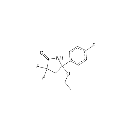 CCOC1(c2ccc(F)cc2)CC(F)(F)C(=O)N1